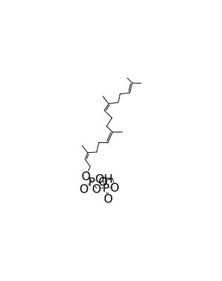 CC(C)=CCCC(C)=CCCC(C)=CCCC(C)=CCOP(=O)(O)OP1(=O)OCO1